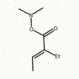 C/C=C(\CC)C(=O)ON(C)C